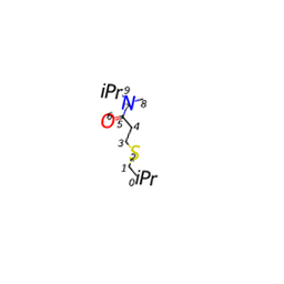 CC(C)CSCCC(=O)N(C)C(C)C